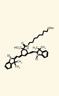 CCCCCCCCCCCCCCCCCCNC(=O)C1(C(=O)O)CC(/C=C/C2=[N+](CC)c3ccccc3C2(C)C)=CC(=C/C=C2/N(CC)c3ccccc3C2(C)C)/C1